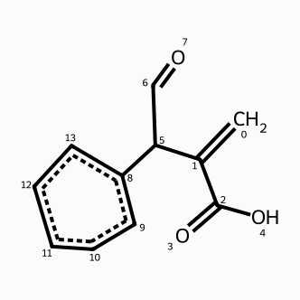 C=C(C(=O)O)C(C=O)c1ccccc1